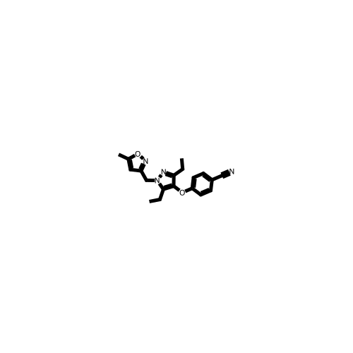 CCc1nn(Cc2cc(C)on2)c(CC)c1Oc1ccc(C#N)cc1